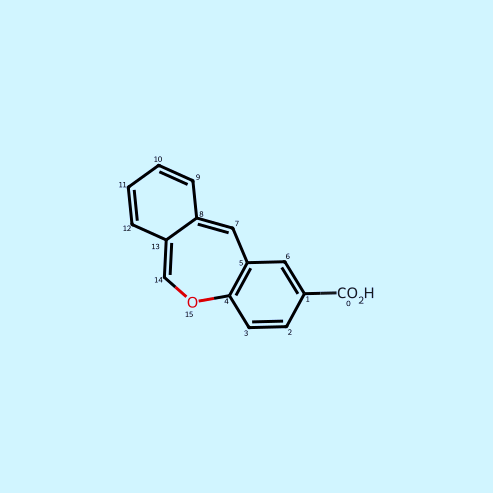 O=C(O)c1ccc2c(c1)C=c1ccccc1=CO2